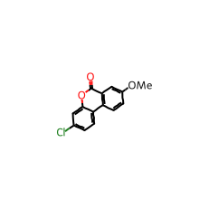 COc1ccc2c(c1)c(=O)oc1cc(Cl)ccc12